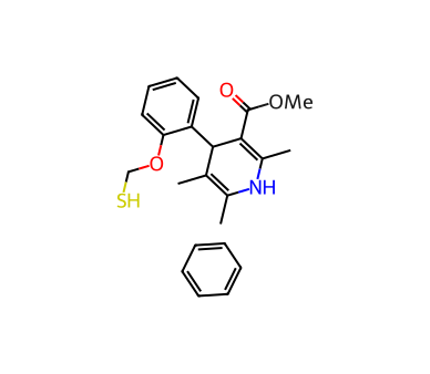 COC(=O)C1=C(C)NC(C)=C(C)C1c1ccccc1OCS.c1ccccc1